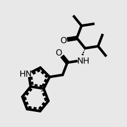 CC(C)C(=O)[C@@H](NC(=O)Cc1c[nH]c2ccccc12)C(C)C